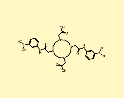 O=C(O)CN1CCN(CC(=O)Nc2cccc(B(O)O)c2)CCN(CC(=O)O)CCN(CC(=O)Nc2cccc(B(O)O)c2)CC1